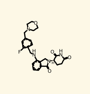 O=C1CC[C@@H](N2Cc3c(NCc4ccc(CN5CCOCC5)cc4F)cccc3C2=O)C(=O)N1